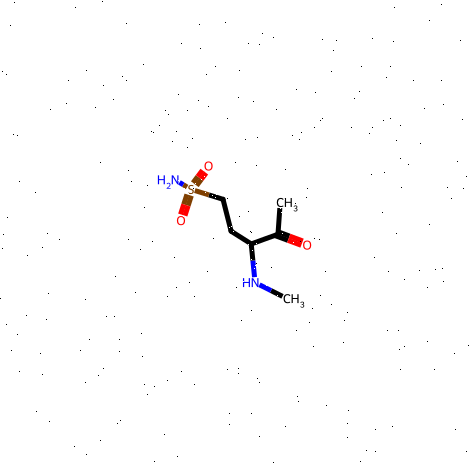 CNC(CCS(N)(=O)=O)C(C)=O